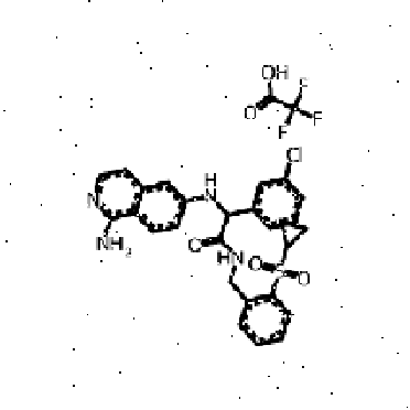 Nc1nccc2cc(NC(C(=O)NCc3ccccc3S(=O)(=O)C3CC3)c3cccc(Cl)c3)ccc12.O=C(O)C(F)(F)F